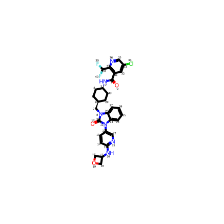 O=C(N[C@H]1CC[C@H](Cn2c(=O)n(-c3ccc(NC4COC4)nc3)c3ccccc32)CC1)c1cc(Cl)cnc1C(F)F